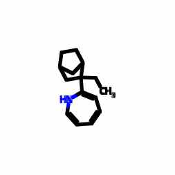 CCC1(C2=CC=CC=CN2)CC2CCC1C2